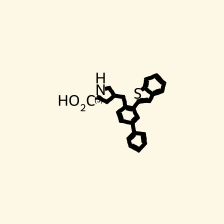 O=C(O)[C@@H]1CC(Cc2ccc(-c3ccccc3)cc2-c2cc3ccccc3s2)CN1